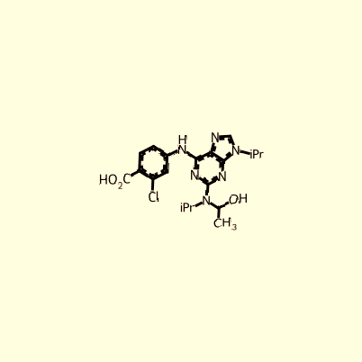 CC(C)N(c1nc(Nc2ccc(C(=O)O)c(Cl)c2)c2ncn(C(C)C)c2n1)C(C)O